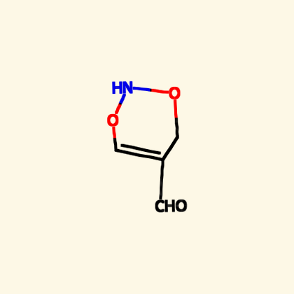 O=CC1=CONOC1